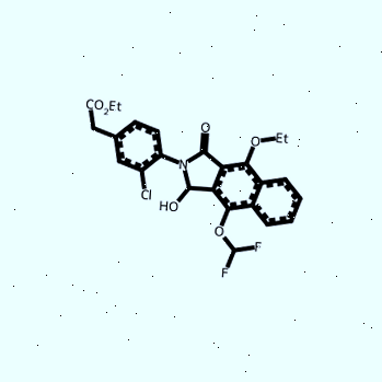 CCOC(=O)Cc1ccc(N2C(=O)c3c(c(OC(F)F)c4ccccc4c3OCC)C2O)c(Cl)c1